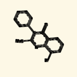 CSc1nc2c(Br)cccc2c(=O)n1-c1ccccc1